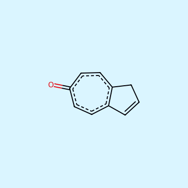 O=c1ccc2c(cc1)CC=C2